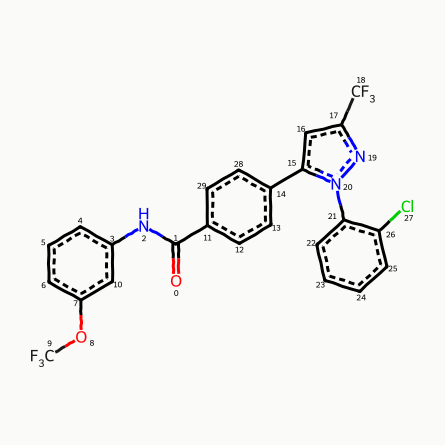 O=C(Nc1cccc(OC(F)(F)F)c1)c1ccc(-c2cc(C(F)(F)F)nn2-c2ccccc2Cl)cc1